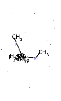 CCCCCCCC/C=C\CCCCCCCCCCCCOCC(COP(C)N(C(C)C)C(C)C)OCCCCCCCCCCCC/C=C/CCCCCCCC